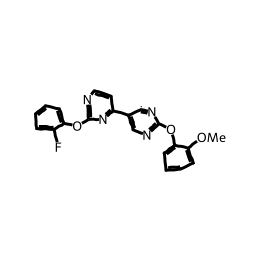 COc1ccccc1Oc1n[c]c(-c2ccnc(Oc3ccccc3F)n2)cn1